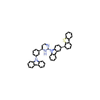 C1=NC(n2c3ccccc3c3cc(-c4cccc5c4sc4ccccc45)ccc32)NC(c2cccc(-n3c4ccccc4c4ccccc43)c2)=C1